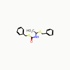 O=C(NC(SCc1ccccc1)C(=O)O)SCc1ccccc1